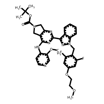 COCCOc1cc(F)c(Cn2nc(-c3nc4c(c(Nc5ccncc5OC)n3)CN(C(=O)OC(C)(C)C)C4)c3ccccc32)c(F)c1